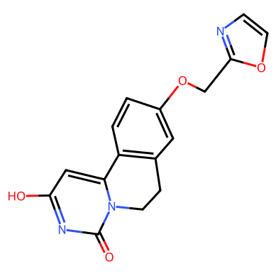 O=c1nc(O)cc2n1CCc1cc(OCc3ncco3)ccc1-2